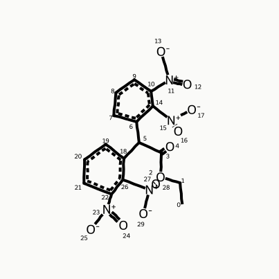 CCOC(=O)C(c1cccc([N+](=O)[O-])c1[N+](=O)[O-])c1cccc([N+](=O)[O-])c1[N+](=O)[O-]